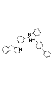 c1ccc(-c2ccc(-c3nc(-c4cccc(-c5nccc6c5Cc5ccccc5-6)c4)nc4ccccc34)cc2)cc1